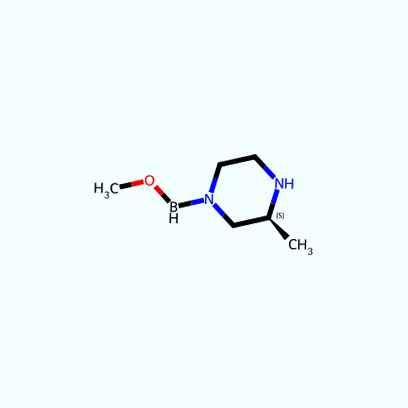 COBN1CCN[C@@H](C)C1